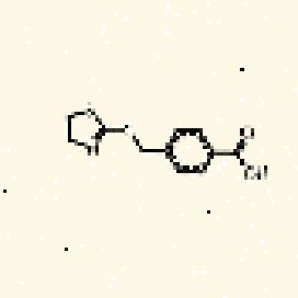 O=C(O)c1ccc(CSC2=NCCS2)cc1